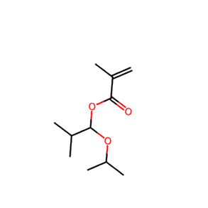 C=C(C)C(=O)OC(OC(C)C)C(C)C